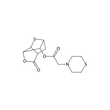 O=C(CN1CCSCC1)OC1C2CC3C(=O)OC1C3S2